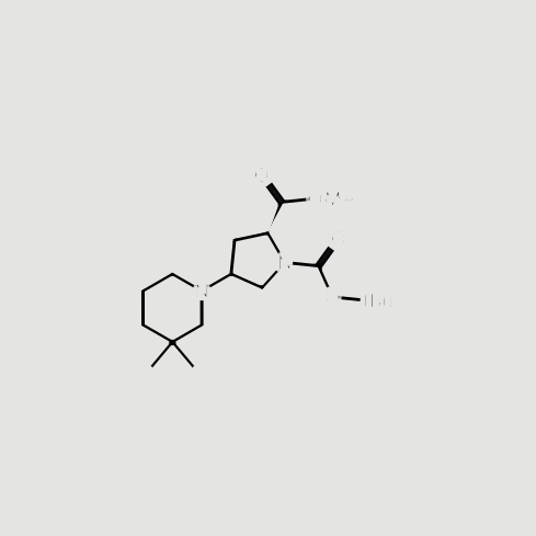 COC(=O)[C@@H]1CC(N2CCCC(C)(C)C2)CN1C(=O)OC(C)(C)C